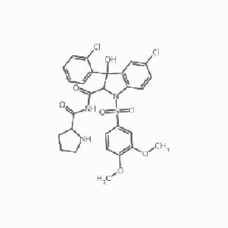 COc1ccc(S(=O)(=O)N2c3ccc(Cl)cc3C(O)(c3ccccc3Cl)C2C(=O)NC(=O)C2CCCN2)cc1OC